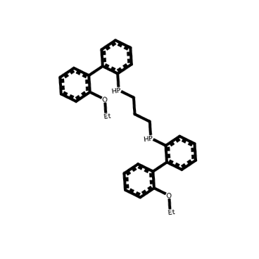 CCOc1ccccc1-c1ccccc1PCCCPc1ccccc1-c1ccccc1OCC